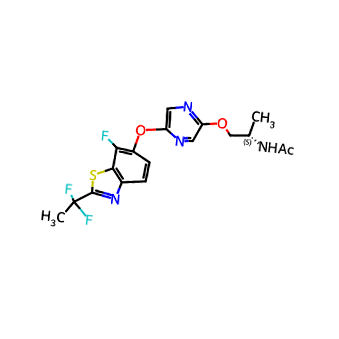 CC(=O)N[C@@H](C)COc1cnc(Oc2ccc3nc(C(C)(F)F)sc3c2F)cn1